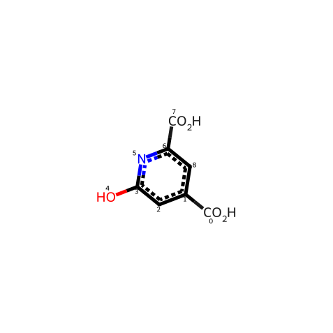 O=C(O)c1cc(O)nc(C(=O)O)c1